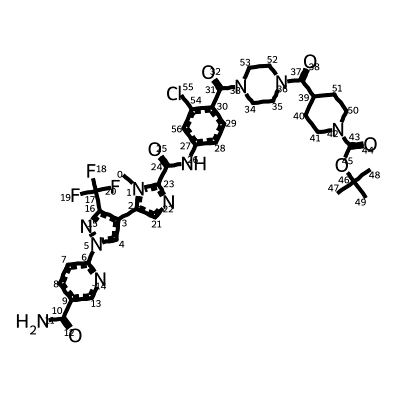 Cn1c(-c2cn(-c3ccc(C(N)=O)cn3)nc2C(F)(F)F)cnc1C(=O)Nc1ccc(C(=O)N2CCN(C(=O)C3CCN(C(=O)OC(C)(C)C)CC3)CC2)c(Cl)c1